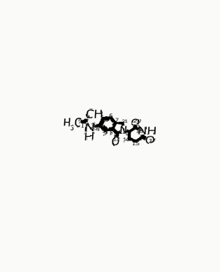 CC(C)Nc1ccc2c(c1)C(=O)N(C1CCC(=O)NC1=O)C2